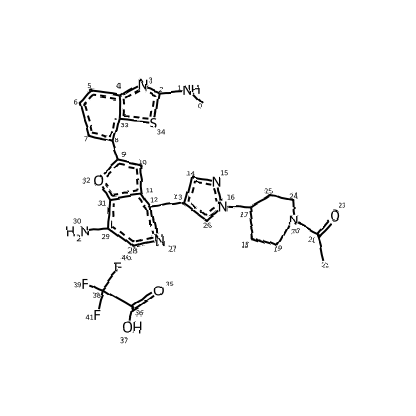 CNc1nc2cccc(-c3cc4c(-c5cnn(C6CCN(C(C)=O)CC6)c5)ncc(N)c4o3)c2s1.O=C(O)C(F)(F)F